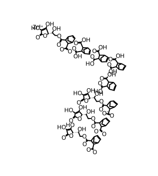 O=C(O)C1C2C=CC(C2)C1C(=O)O.O=C(O)C1C2C=CC(C2)C1C(=O)O.O=C(O)C1C2C=CC(C2)C1C(=O)O.O=C(O)C1C2C=CC(C2)C1C(=O)O.O=C1O[C@@H](C(O)COC(=O)C2C3C=CC(C3)C2C(=O)[O-])C(O)=C1O.O=C1O[C@@H](C(O)COC(=O)C2C3C=CC(C3)C2C(=O)[O-])C(O)=C1O.O=C1O[C@@H](C(O)COC(=O)C2C3C=CC(C3)C2C(=O)[O-])C(O)=C1O.O=C1O[C@@H](C(O)COC(=O)C2C3C=CC(C3)C2C(=O)[O-])C(O)=C1O.[Zr+4]